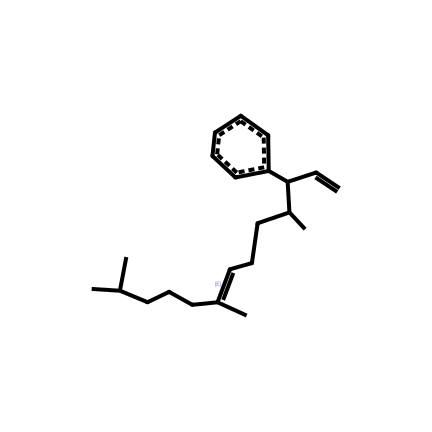 C=CC(c1ccccc1)C(C)CC/C=C(\C)CCCC(C)C